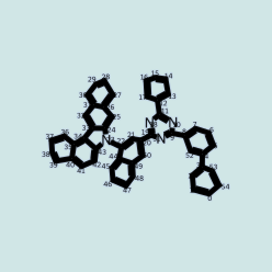 c1ccc(-c2cccc(-c3nc(-c4ccccc4)nc(-c4cc(-n5c6cc7ccccc7cc6c6c7ccccc7ccc65)c5ccccc5c4)n3)c2)cc1